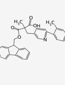 Cc1ccccc1-c1ccc(CC(C)(C(=O)O)C(=O)OCC2c3ccccc3-c3ccccc32)cn1